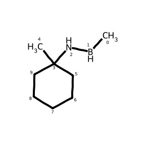 CBNC1(C)CCCCC1